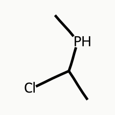 CPC(C)Cl